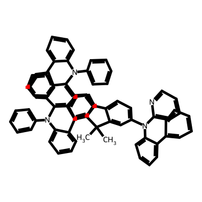 CC1(C)c2cc(N(c3ccccn3)c3ccccc3-c3ccccc3)ccc2-c2cc3c(N(c4ccccc4)c4ccccc4-c4ccccc4)c4ccccc4c(N(c4ccccc4)c4ccccc4-c4ccccc4)c3cc21